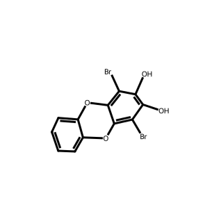 Oc1c(O)c(Br)c2c(c1Br)Oc1ccccc1O2